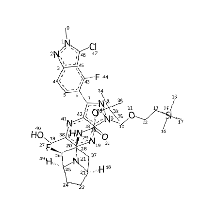 Cn1nc2ccc(-c3nn(COCC[Si](C)(C)C)c4nc(N5[C@@H]6CC[C@H]5[C@@H](F)[C@@H](NC(=O)OC(C)(C)C)C6)c(CO)nc34)c(F)c2c1Cl